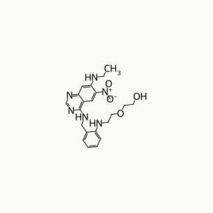 CCNc1cc2ncnc(NCc3ccccc3NCCOCCO)c2cc1[N+](=O)[O-]